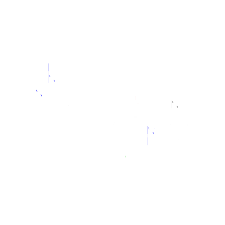 N#CC1(NC(=O)c2cc(-c3cn[nH]c3)ccc2Cl)CC1